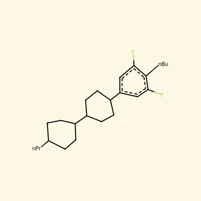 CCCCc1c(F)cc(C2CCC(C3CCC(CCC)CC3)CC2)cc1F